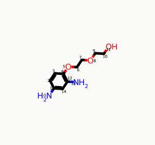 Nc1ccc(OCCOCCO)c(N)c1